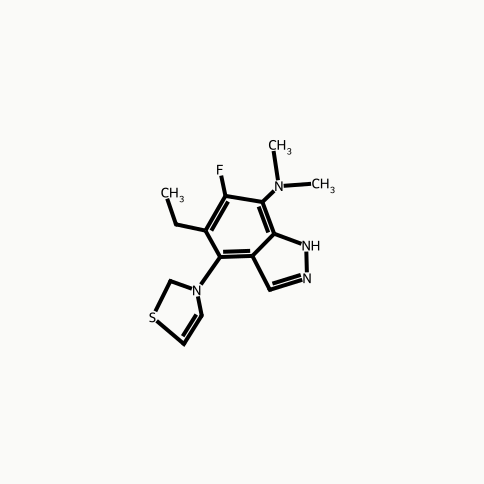 CCc1c(F)c(N(C)C)c2[nH]ncc2c1N1C=CSC1